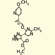 CCOC(=O)c1[nH]nnc1-c1cnc(C)nc1OC[C@H]1C=C1c1ccc(OC)cn1